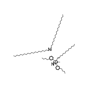 CCCCCCCCCCCC=CC1=C(c2cccc(CCCC)c2)[N+](=[N-])C(c2cccc(CCCC)c2)=C1C.CCCCCCCCCCCCCCCCCCC[CH2][Ni][CH2]CCCCCCCCCCCCCCCCCCC